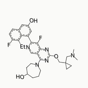 CCc1c(F)ccc2cc(O)cc(-c3ncc4c(N5CCCC(O)CC5)nc(OCC5(CN(C)C)CC5)nc4c3F)c12